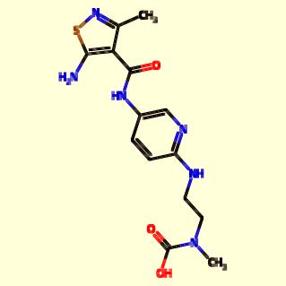 Cc1nsc(N)c1C(=O)Nc1ccc(NCCN(C)C(=O)O)nc1